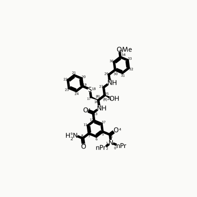 CCCN(CCC)C(=O)c1cc(C(N)=O)cc(C(=O)N[C@@H](CSc2ccccc2)[C@H](O)CNCc2cccc(OC)c2)c1